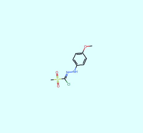 COc1ccc(N/N=C(\Cl)S(C)(=O)=O)cc1